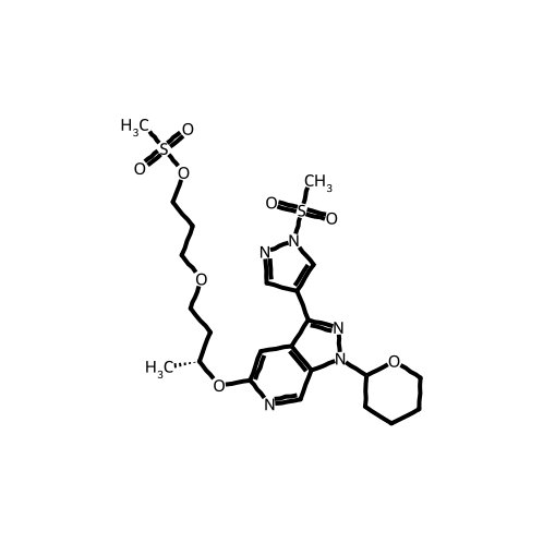 C[C@H](CCOCCCOS(C)(=O)=O)Oc1cc2c(-c3cnn(S(C)(=O)=O)c3)nn(C3CCCCO3)c2cn1